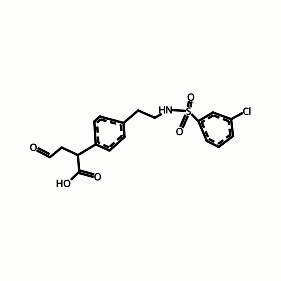 O=CCC(C(=O)O)c1ccc(CCNS(=O)(=O)c2cccc(Cl)c2)cc1